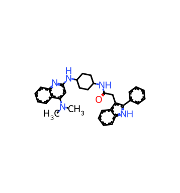 CN(C)c1cc(NC2CCC(NC(=O)Cc3c(-c4ccccc4)[nH]c4ccccc34)CC2)nc2ccccc12